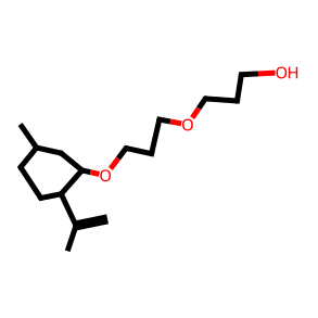 C=C(C)C1CCC(C)CC1OCCCOCCCO